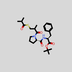 CC(C)C(=O)SCC(C)C(=O)N1CCC[C@H]1C(=O)N[C@@H](Cc1ccccc1)C(=O)OC(C)(C)C